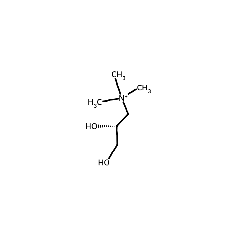 C[N+](C)(C)C[C@@H](O)CO